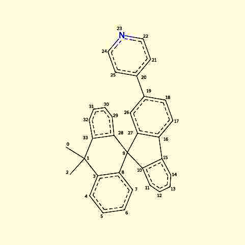 CC1(C)c2ccccc2C2(c3ccccc3-c3ccc(-c4ccncc4)cc32)c2ccccc21